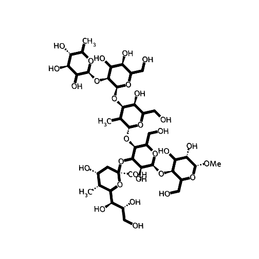 CO[C@@H]1OC(CO)[C@@H](O[C@@H]2OC(CO)[C@H](O[C@H]3OC(CO)[C@H](O)[C@H](O[C@@H]4OC(CO)[C@H](O)C(O)[C@@H]4O[C@@H]4OC(C)[C@@H](O)[C@H](O)C4O)C3C)C(O[C@]3(C(=O)O)C[C@@H](O)[C@@H](C)C([C@H](O)[C@H](O)CO)O3)[C@@H]2O)C(O)[C@@H]1O